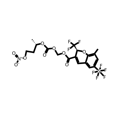 Cc1cc(S(F)(F)(F)(F)F)cc2c1O[C@H](C(F)(F)F)C(C(=O)OCOC(=O)O[C@@H](C)CCO[N+](=O)[O-])=C2